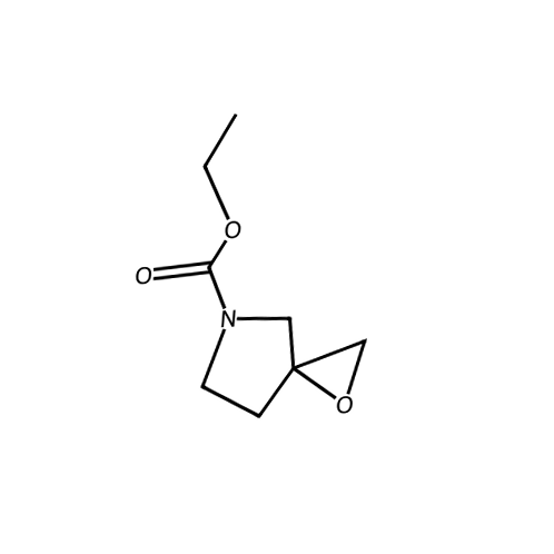 CCOC(=O)N1CCC2(CO2)C1